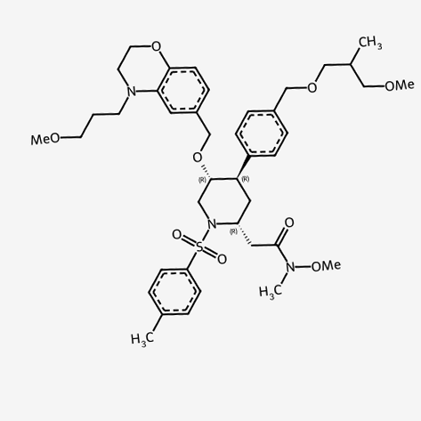 COCCCN1CCOc2ccc(CO[C@H]3CN(S(=O)(=O)c4ccc(C)cc4)[C@@H](CC(=O)N(C)OC)C[C@@H]3c3ccc(COCC(C)COC)cc3)cc21